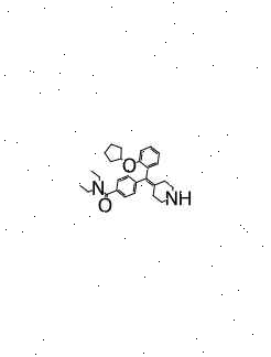 CCN(CC)C(=O)c1ccc(C(=C2CCNCC2)c2ccccc2OC2CCCC2)cc1